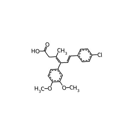 COc1ccc(C(C=Cc2ccc(Cl)cc2)=C(C)CC(=O)O)cc1OC